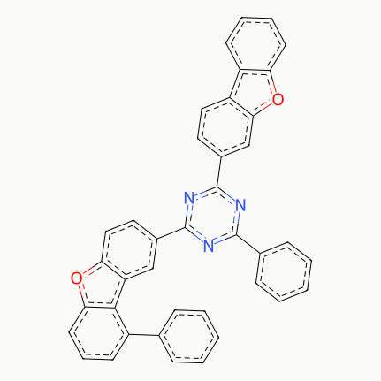 c1ccc(-c2nc(-c3ccc4c(c3)oc3ccccc34)nc(-c3ccc4oc5cccc(-c6ccccc6)c5c4c3)n2)cc1